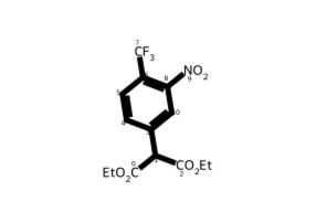 CCOC(=O)C(C(=O)OCC)c1ccc(C(F)(F)F)c([N+](=O)[O-])c1